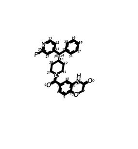 O=C1COc2ccc(C(=O)N3CCC([C@H](c4ccccc4)c4ccnc(F)c4)CC3)cc2N1